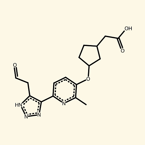 Cc1nc(-c2nn[nH]c2CC=O)ccc1OC1CCC(CC(=O)O)C1